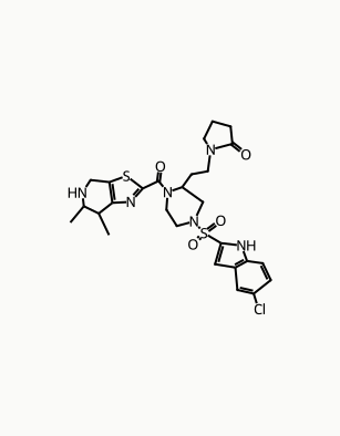 CC1NCc2sc(C(=O)N3CCN(S(=O)(=O)c4cc5cc(Cl)ccc5[nH]4)CC3CCN3CCCC3=O)nc2C1C